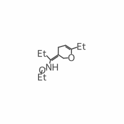 CCONC(CC)=C1CC=C(CC)OC1